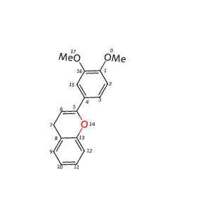 COc1ccc(C2=CCc3ccccc3O2)cc1OC